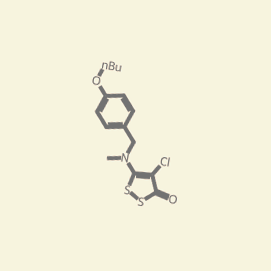 CCCCOc1ccc(CN(C)c2ssc(=O)c2Cl)cc1